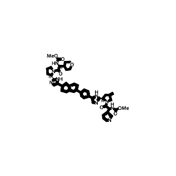 C=C1C[C@@H](c2ncc(-c3ccc(-c4ccc5cc(-c6cnc([C@@H]7CCCN7C(=O)[C@@H](NC(=O)OC)C7CCOCC7)[nH]6)ccc5c4)cc3)[nH]2)N(C(=O)C(NC(=O)OC)c2cccnc2)C1